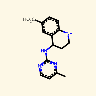 Cc1ccnc(NC2CCNc3ccc(C(=O)O)cc32)n1